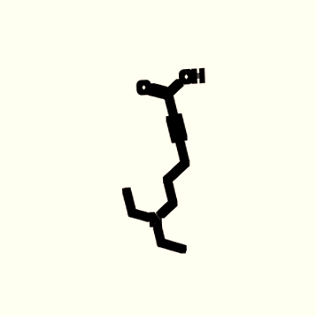 CCN(CC)CCCC#CC(=O)O